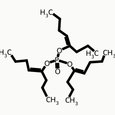 CCC/C=C(/CCC)OP(=O)(O/C(=C\CCC)CCC)O/C(=C\CCC)CCC